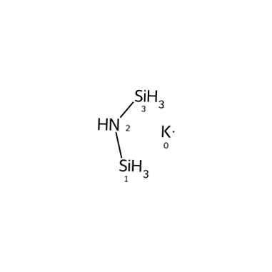 [K].[SiH3]N[SiH3]